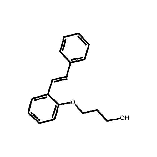 OCCCOc1ccccc1C=Cc1ccccc1